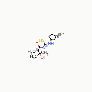 CCC[C@@H]1CC[C@@H](N/C(S)=N/C(=O)[C@H](C)C(C)(C)O)C1